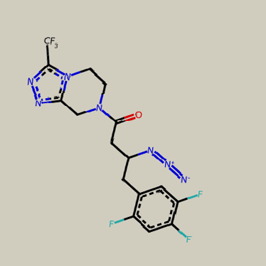 [N-]=[N+]=NC(CC(=O)N1CCn2c(nnc2C(F)(F)F)C1)Cc1cc(F)c(F)cc1F